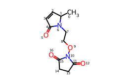 CC1C=CC(=O)N1CCON1C(=O)CCC1=O